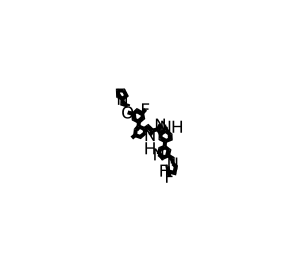 CC1C=C(c2cc(F)cc(OCCN3CCCC3)c2)c2cc(-c3n[nH]c4ccc(-c5cncc(CN6CCC(F)(F)C6)c5)cc34)[nH]c2C1